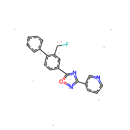 FCc1cc(-c2nc(-c3cccnc3)no2)ccc1-c1ccccc1